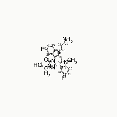 Cl.Cn1nc(-c2cn(C)c3ccc(F)cc23)n(-c2cn(CCCN)c3ccc(F)cc23)c1=O